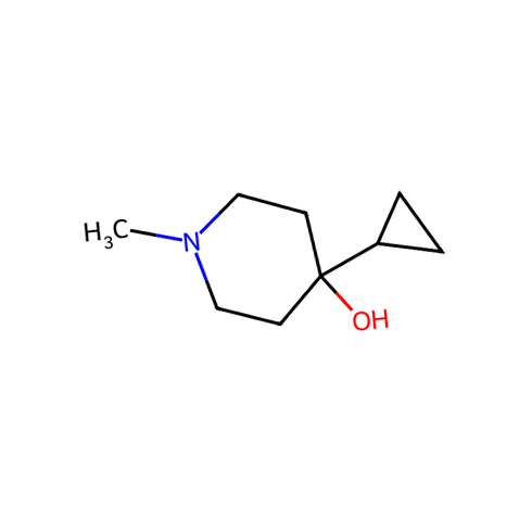 CN1CCC(O)(C2CC2)CC1